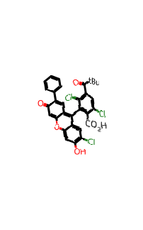 CC(C)(C)C(=O)c1cc(Cl)c(C(=O)O)c(-c2c3cc(-c4ccccc4)c(=O)cc-3oc3cc(O)c(Cl)cc23)c1Cl